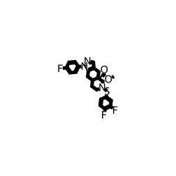 COC(=O)[C@]12Cc3cnn(-c4ccc(F)cc4)c3CC1CCN(Sc1ccc(F)c(F)c1)C2